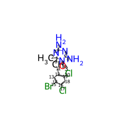 CC1(C)N=C(N)N=C(N)N1OCc1cc(Br)c(Cl)cc1Cl